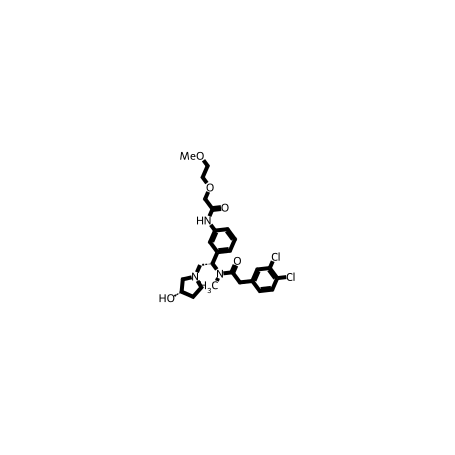 COCCOCC(=O)Nc1cccc([C@@H](CN2CC[C@H](O)C2)N(C)C(=O)Cc2ccc(Cl)c(Cl)c2)c1